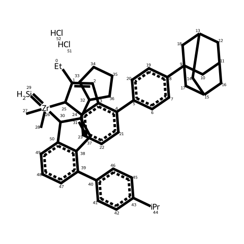 CCC1=Cc2c(-c3ccc(C45CC6CC(CC(C6)C4)C5)cc3)cccc2[CH]1[Zr]([CH3])([CH3])(=[SiH2])[CH]1C(C2CCCC2)=Cc2c(-c3ccc(C(C)C)cc3)cccc21.Cl.Cl